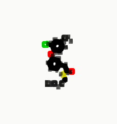 CCOC(=O)CSC(=O)Cc1cccc(Oc2ccc(C(F)(F)F)cc2Cl)c1